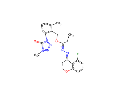 CC/C(=N\N=C1CCOc2cccc(F)c21)OCc1c(C)cccc1-n1nnn(C)c1=O